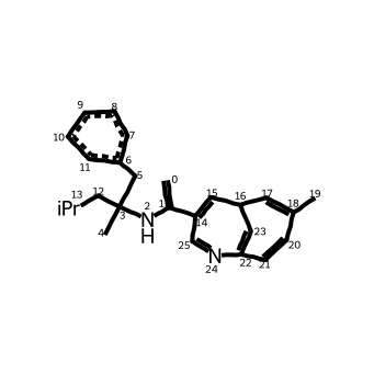 C=C(NC(C)(Cc1ccccc1)CC(C)C)C1=CC2C=C(C)C=CC(=C2)N=C1